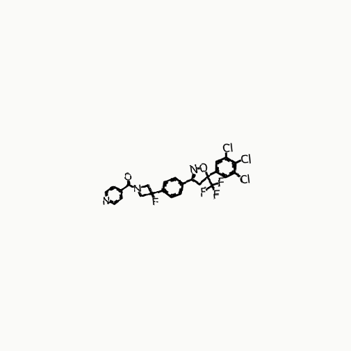 O=C(c1ccncc1)N1CC(F)(c2ccc(C3=NOC(c4cc(Cl)c(Cl)c(Cl)c4)(C(F)(F)F)C3)cc2)C1